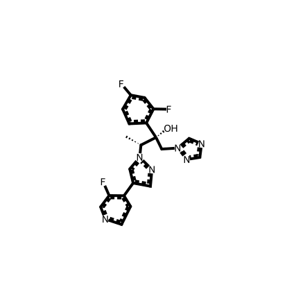 C[C@@H](n1cc(-c2ccncc2F)cn1)[C@](O)(Cn1cncn1)c1ccc(F)cc1F